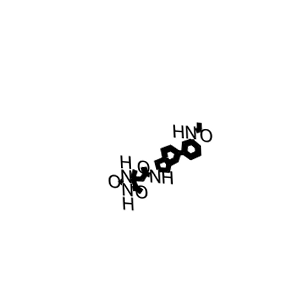 CC(=O)Nc1cccc(-c2ccc3c(c2)CC(NC(=O)CC2(C)NC(=O)NC2=O)C3)c1